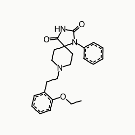 CCOc1ccccc1CCN1CCC2(CC1)C(=O)NC(=O)N2c1ccccc1